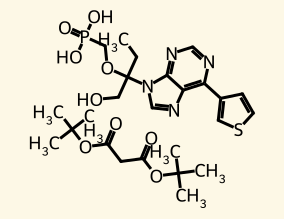 CC(C)(C)OC(=O)CC(=O)OC(C)(C)C.CCC(CO)(OCP(=O)(O)O)n1cnc2c(-c3ccsc3)ncnc21